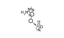 Cc1nc(N)c2nc(-c3cccc(C#C[C@@]4(O)C(=O)N(C)C[C@@H]4C)c3)ccc2n1